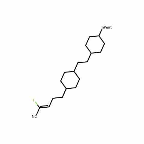 CCCCCC1CCC(CCC2CCC(CCC=C(F)C#N)CC2)CC1